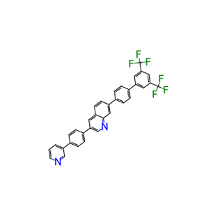 FC(F)(F)c1cc(-c2ccc(-c3ccc4cc(-c5ccc(-c6cccnc6)cc5)cnc4c3)cc2)cc(C(F)(F)F)c1